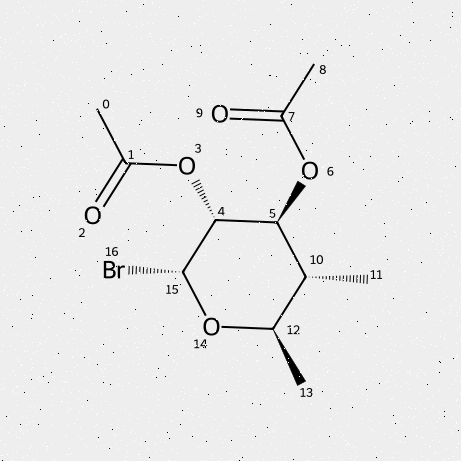 CC(=O)O[C@@H]1[C@@H](OC(C)=O)[C@H](C)[C@@H](C)O[C@@H]1Br